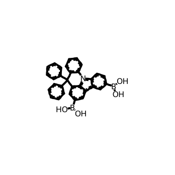 OB(O)c1ccc2c(c1)c1cc(B(O)O)cc3c1n2-c1ccccc1C3(c1ccccc1)c1ccccc1